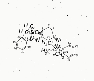 C[Si](C)(C)N(N=C1CCCC(=NN(c2ccccc2)[Si](C)(C)C)C1)c1ccccc1